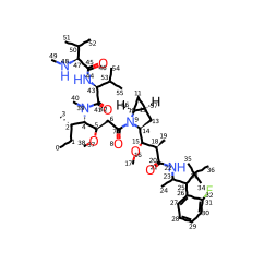 CC[C@H](C)[C@@H]([C@@H](CC(=O)N1[C@H]2C[C@H]2C[C@H]1[C@H](OC)[C@@H](C)C(=O)NC(C)C(c1ccccc1F)C(C)(C)C)OC)N(C)C(=O)[C@@H](NC(=O)[C@@H](NC)C(C)C)C(C)C